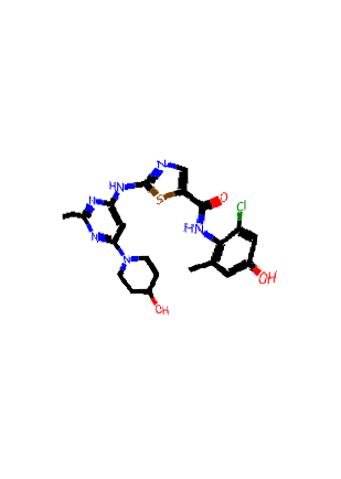 Cc1nc(Nc2ncc(C(=O)Nc3c(C)cc(O)cc3Cl)s2)cc(N2CCC(O)CC2)n1